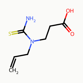 C=CCN(CCC(=O)O)C(N)=S